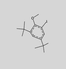 COc1c(I)cc(C(C)(C)C)cc1C(C)(C)C